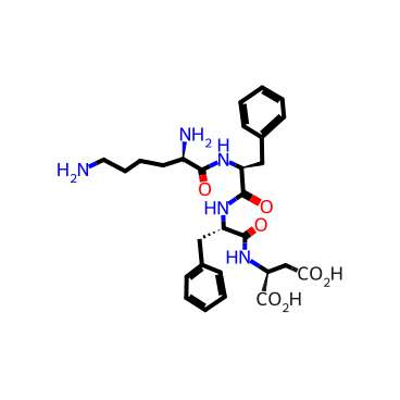 NCCCC[C@@H](N)C(=O)N[C@@H](Cc1ccccc1)C(=O)N[C@@H](Cc1ccccc1)C(=O)N[C@@H](CC(=O)O)C(=O)O